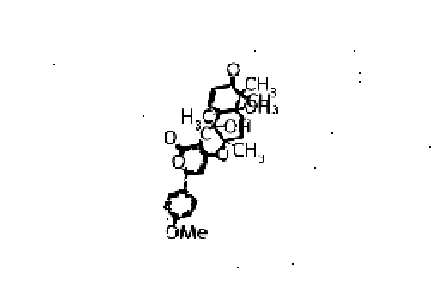 COc1ccc(-c2cc3c(c(=O)o2)C[C@]2(O)[C@@]4(C)C=CC(=O)C(C)(C)[C@]4(O)CC[C@@]2(C)O3)cc1